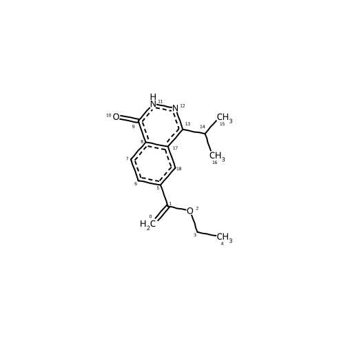 C=C(OCC)c1ccc2c(=O)[nH]nc(C(C)C)c2c1